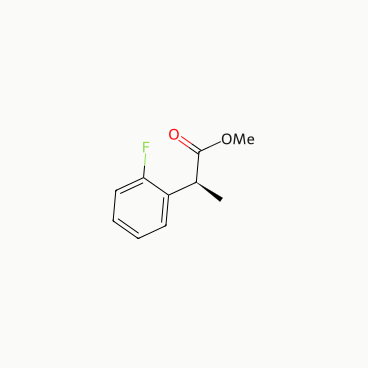 COC(=O)[C@@H](C)c1ccccc1F